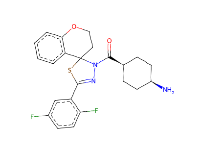 N[C@H]1CC[C@@H](C(=O)N2N=C(c3cc(F)ccc3F)SC23CCOc2ccccc23)CC1